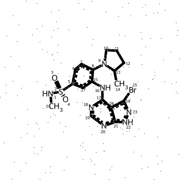 CNS(=O)(=O)c1ccc(N2CCCC2C)c(Nc2ncnc3[nH]nc(Br)c23)c1